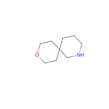 C1CNCC2(C1)CCOCC2